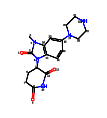 Cn1c(=O)n([C@@H]2CCC(=O)NC2=O)c2ccc(N3CCNCC3)cc21